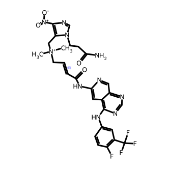 C[N+](C)(C/C=C/C(=O)Nc1cc2c(Nc3ccc(F)c(C(F)(F)F)c3)ncnc2cn1)Cc1c([N+](=O)[O-])ncn1CCC(N)=O